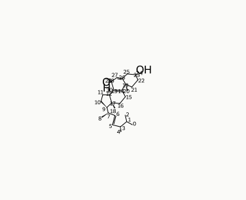 CC(C)[C@@H](C)/C=C/[C@@H](C)[C@H]1CC[C@H]2C3=C(CC[C@]12C)[C@@]1(C)CC[C@H](O)CC1=CC3=O